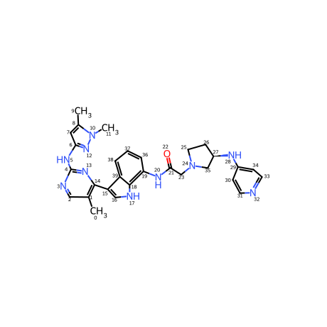 Cc1cnc(Nc2cc(C)n(C)n2)nc1-c1c[nH]c2c(NC(=O)CN3CC[C@@H](Nc4ccncc4)C3)cccc12